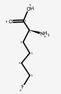 N[C@@H](CCCCF)C(=O)O